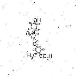 Cc1cc(OCC2CC(=O)N(c3ccc(O)cc3)C2)ccc1C(=O)O